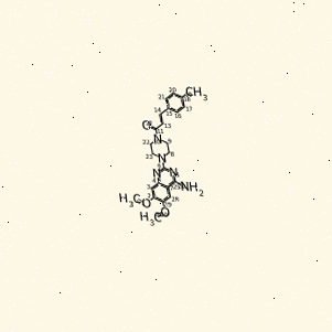 COc1cc2nc(N3CCN(C(=O)/C=C/c4ccc(C)cc4)CC3)nc(N)c2cc1OC